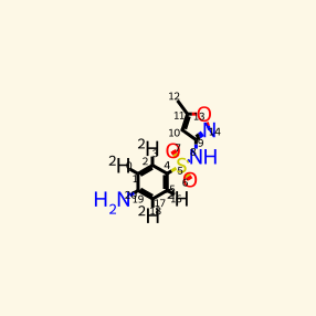 [2H]c1c([2H])c(S(=O)(=O)Nc2cc(C)on2)c([2H])c([2H])c1N